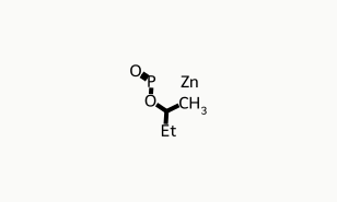 CCC(C)OP=O.[Zn]